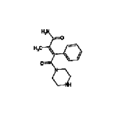 C/C(C(N)=O)=C(\C(=O)N1CCNCC1)c1ccccc1